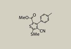 COC(=O)c1sc(SC)c(C#N)c1-c1ccc(C)cc1